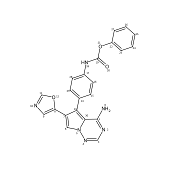 Nc1ncnn2cc(-c3cnco3)c(-c3ccc(NC(=O)Oc4ccccc4)cc3)c12